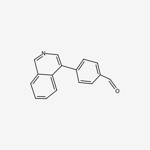 O=Cc1ccc(-c2cncc3ccccc23)cc1